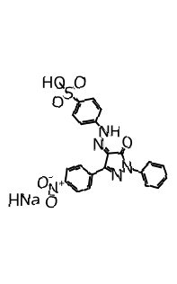 O=C1C(=NNc2ccc(S(=O)(=O)O)cc2)C(c2ccc([N+](=O)[O-])cc2)=NN1c1ccccc1.[NaH]